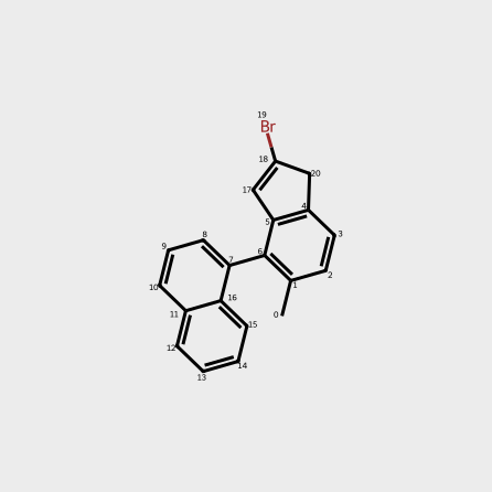 Cc1ccc2c(c1-c1cccc3ccccc13)C=C(Br)C2